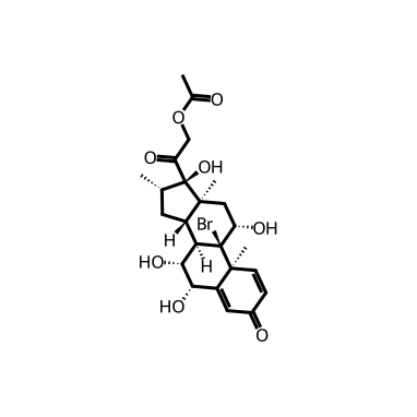 CC(=O)OCC(=O)[C@@]1(O)[C@@H](C)C[C@H]2[C@@H]3[C@@H](O)[C@@H](O)C4=CC(=O)C=C[C@]4(C)[C@@]3(Br)[C@@H](O)C[C@@]21C